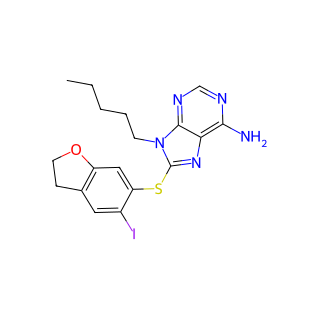 CCCCCn1c(Sc2cc3c(cc2I)CCO3)nc2c(N)ncnc21